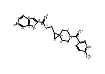 N#Cc1ccc(C(=O)N2CCC3(CC2)CC3CNC(=O)c2cc3ccncc3o2)cn1